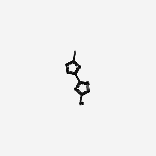 CC(C)c1cnc(-c2ccc(I)s2)s1